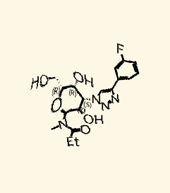 CCC(=O)N(C)C1O[C@H](CO)[C@H](O)[C@H](n2cc(-c3cccc(F)c3)nn2)[C@H]1O